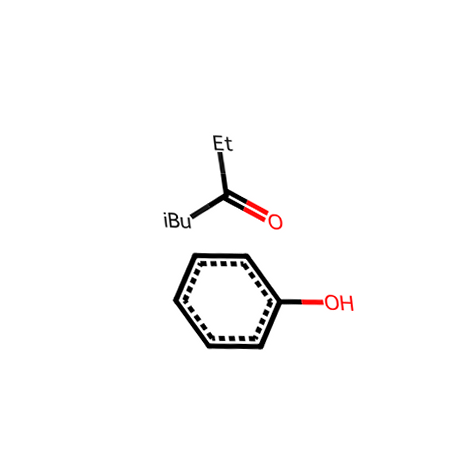 CCC(=O)C(C)CC.Oc1ccccc1